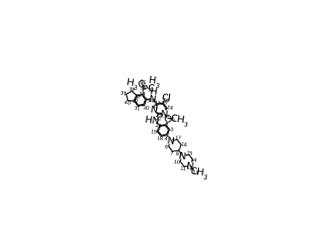 COc1cc(N2CCC(N3CCN(C)CC3)CC2)ccc1Nc1ncc(Cl)c(Nc2ccc3c(c2P(C)C)CCC3)n1